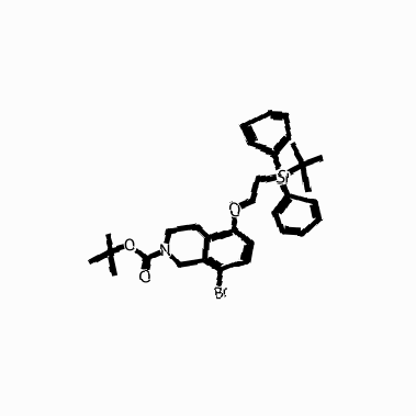 CC(C)(C)OC(=O)N1CCc2c(OCC[Si](c3ccccc3)(c3ccccc3)C(C)(C)C)ccc(Br)c2C1